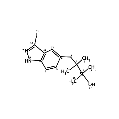 CC(C)(Cc1ccc2[nH]nc(I)c2c1)[Si](C)(C)O